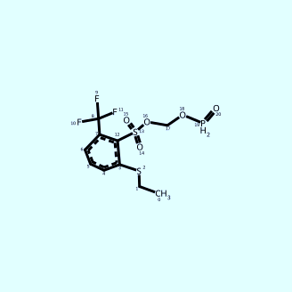 CCSc1cccc(C(F)(F)F)c1S(=O)(=O)OCO[PH2]=O